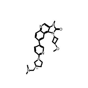 CO[C@H]1C[C@H](n2c(=O)n(C)c3cnc4ccc(-c5ccc(N6CC[C@@H](CN(C)C)C6)nc5)cc4c32)C1